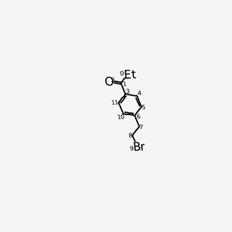 CCC(=O)c1ccc(CCBr)cc1